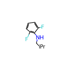 CC(C)CNc1c(F)cccc1F